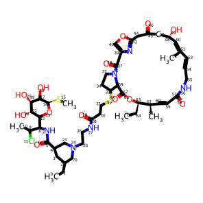 CCC1CC(C(=O)NC(C(C)Cl)C2O[C@H](SC)C(O)[C@H](O)[C@H]2O)CN(CCNC(=O)CCSC2CCN3C(=O)c4coc(n4)CC(=O)C[C@H](O)/C=C(C)/C=C/CNC(=O)/C=C/[C@@H](C)[C@@H](CC)OC(=O)C23)C1